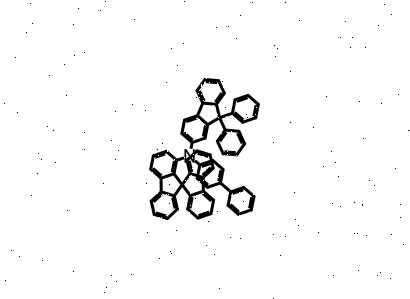 c1ccc(-c2ccc(N(c3ccc4c(c3)C(c3ccccc3)(c3ccccc3)c3ccccc3-4)c3cccc4c3C3(c5ccccc5-c5ccccc53)c3ccccc3-4)cc2)cc1